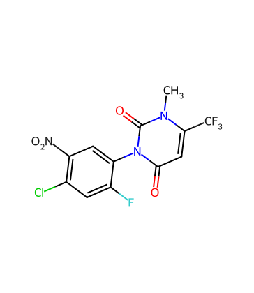 Cn1c(C(F)(F)F)cc(=O)n(-c2cc([N+](=O)[O-])c(Cl)cc2F)c1=O